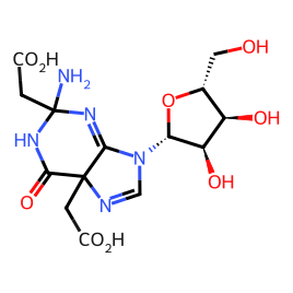 NC1(CC(=O)O)N=C2N([C@@H]3O[C@H](CO)[C@@H](O)[C@H]3O)C=NC2(CC(=O)O)C(=O)N1